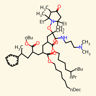 CCCCCCCCCCCCCCCCOC(=O)C(CC(CC(C)c1ccccc1)C(=O)OCCCC)CC(CC(C)(ON1C(C)(CC)CC(=O)C(C)C1(C)CC)C(=O)NCCCN(C)C)C(=O)OCCCCC(CCC)CCCC